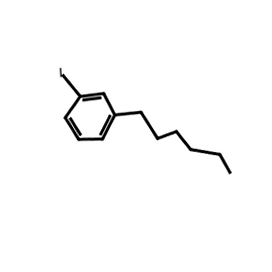 CCCCCCc1cccc(I)c1